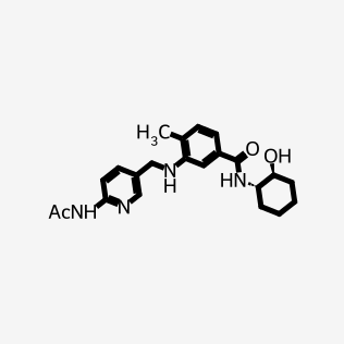 CC(=O)Nc1ccc(CNc2cc(C(=O)N[C@H]3CCCC[C@@H]3O)ccc2C)cn1